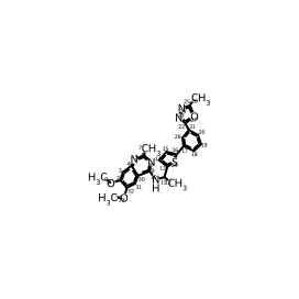 COc1cc2nc(C)nc(NC(C)c3ccc(-c4cccc(-c5nnc(C)o5)c4)s3)c2cc1OC